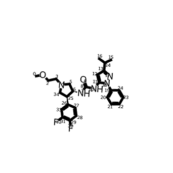 COCCN1C[C@H](NC(=O)Nc2cc(C(C)C)nn2-c2ccccc2)[C@@H](c2ccc(F)c(F)c2)C1